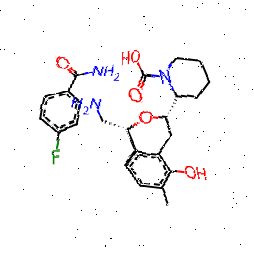 Cc1ccc2c(c1O)C[C@@H](C1CCCCN1C(=O)O)O[C@H]2CN.NC(=O)c1ccc(F)cc1